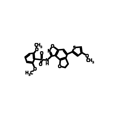 COc1csc(-c2cc3onc(NS(=O)(=O)c4c(OC)cccc4OC)c3c3c2CCO3)c1